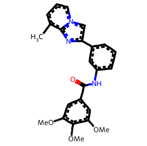 COc1cc(C(=O)Nc2cccc(-c3cn4cccc(C)c4n3)c2)cc(OC)c1OC